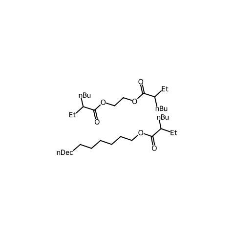 CCCCC(CC)C(=O)OCCOC(=O)C(CC)CCCC.CCCCCCCCCCCCCCCCOC(=O)C(CC)CCCC